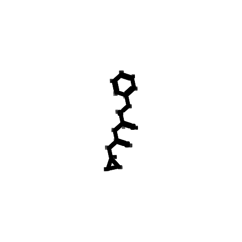 O=C(CC(=O)OCc1ccccc1)CC1CC1